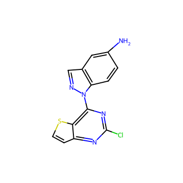 Nc1ccc2c(cnn2-c2nc(Cl)nc3ccsc23)c1